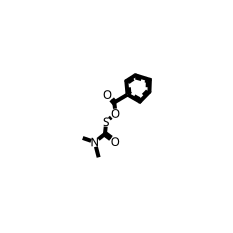 CN(C)C(=O)SOC(=O)c1ccccc1